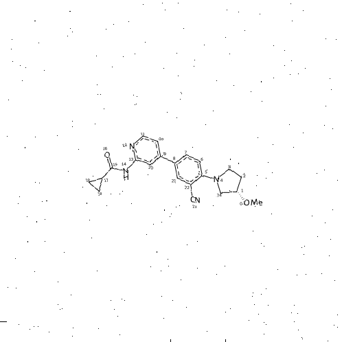 CO[C@H]1CCN(c2ccc(-c3ccnc(NC(=O)C4CC4)c3)cc2C#N)C1